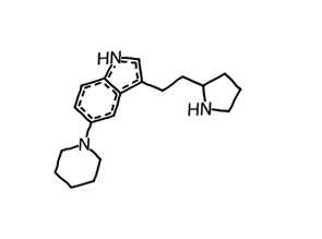 c1cc2[nH]cc(CCC3CCCN3)c2cc1N1CCCCC1